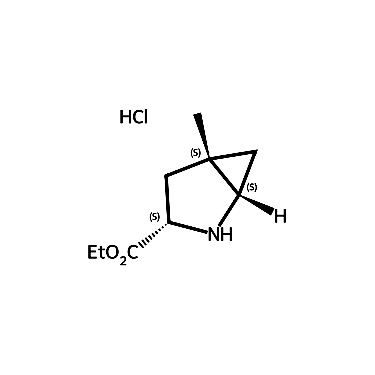 CCOC(=O)[C@@H]1C[C@]2(C)C[C@@H]2N1.Cl